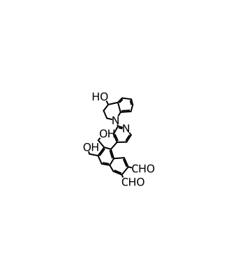 O=Cc1cc2cc(CO)c(CO)c(-c3ccnc(N4CCC(O)c5ccccc54)c3)c2cc1C=O